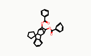 O=C(OC1C2CC(C1OC(=O)c1ccccc1)C1C2c2ccccc2C12CCCC2)c1ccccc1